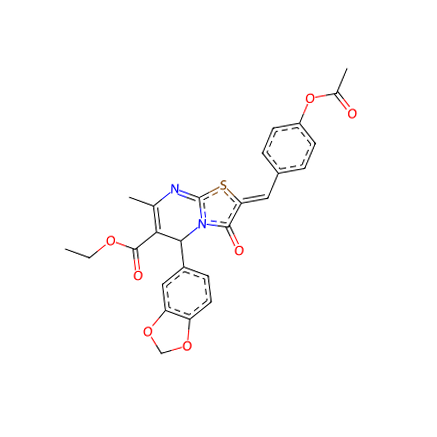 CCOC(=O)C1=C(C)N=c2sc(=Cc3ccc(OC(C)=O)cc3)c(=O)n2C1c1ccc2c(c1)OCO2